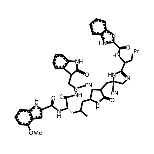 COc1cccc2[nH]c(C(=O)N[C@@H](CC(C)CC3CC(C[C@@]4(C#N)CN=C(C(CC(C)C)NC(=O)c5nc6ccccc6[nH]5)N4)C(=O)N3)C(=O)NN(C#N)CC3C(=O)Nc4ccccc43)cc12